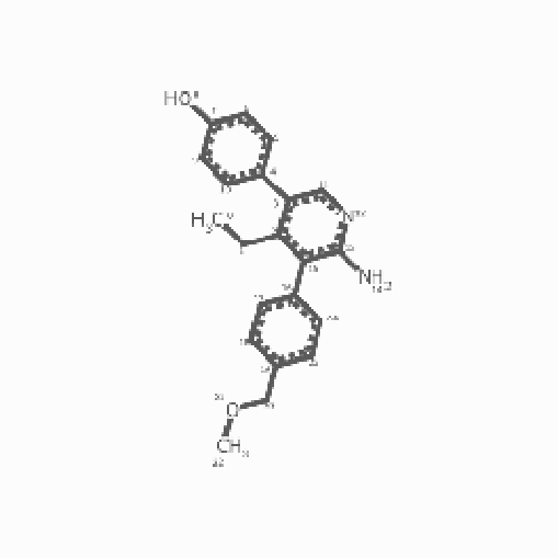 CCc1c(-c2ccc(O)cc2)cnc(N)c1-c1ccc(COC)cc1